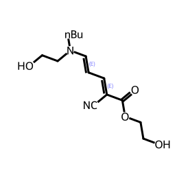 CCCCN(/C=C/C=C(\C#N)C(=O)OCCO)CCO